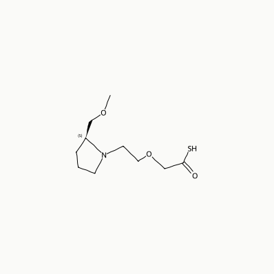 COC[C@@H]1CCCN1CCOCC(=O)S